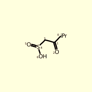 CC(C)C(=O)CS(=O)O